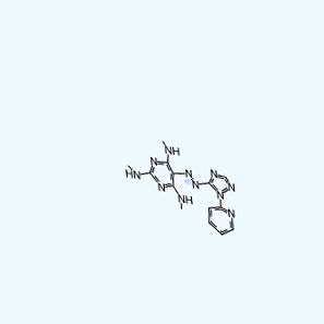 CNc1nc(NC)c(/N=N/c2ncnn2-c2ccccn2)c(NC)n1